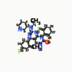 CCN(c1cccnc1)c1nc(-c2ccc(F)cc2C)c2c(n1)N(c1c(F)cccc1F)C(=O)NC2